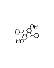 C=C(c1ccccc1)c1cc(O)ccc1-c1ccc(O)cc1C(=C)c1ccccc1